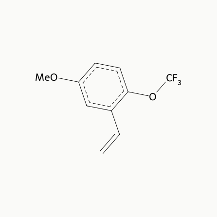 C=Cc1cc(OC)ccc1OC(F)(F)F